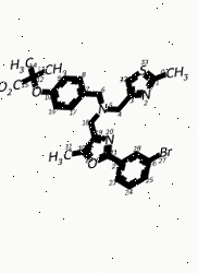 Cc1nc(CN(Cc2ccc(OC(C)(C)C(=O)O)cc2)Cc2nc(-c3cccc(Br)c3)oc2C)cs1